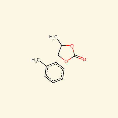 CC1COC(=O)O1.Cc1ccccc1